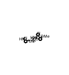 COc1ccccc1-c1cnccc1C(=O)Nc1nnc(OCc2cccc3[nH]cnc23)s1